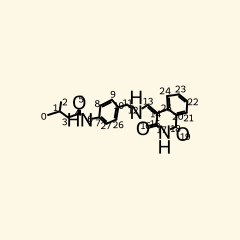 CC(C)CC(=O)Nc1ccc(CNC=C2C(=O)NC(=O)c3ccccc32)cc1